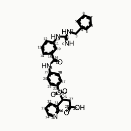 N=C(NCc1ccccc1)Nc1cccc(C(=O)Nc2ccc(S(=O)(=O)C(CC(=O)O)c3cccnc3)cc2)c1